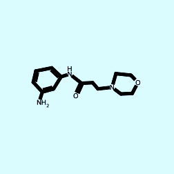 Nc1cccc(NC(=O)CCN2CCOCC2)c1